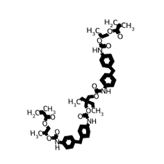 C=C(C)C(=O)OCC(C)OC(=O)Nc1ccc(Cc2ccc(NC(=O)OCC(CC)(CC)COC(=O)Nc3ccc(Cc4ccc(NC(=O)OC(C)COC(=O)C(=C)C)cc4)cc3)cc2)cc1